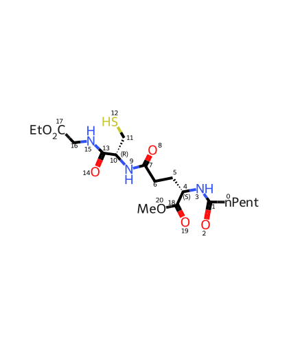 CCCCCC(=O)N[C@@H](CCC(=O)N[C@@H](CS)C(=O)NCC(=O)OCC)C(=O)OC